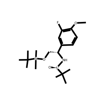 COc1ccc([C@@H](CO[Si](C)(C)C(C)(C)C)N[S@+]([O-])C(C)(C)C)cc1F